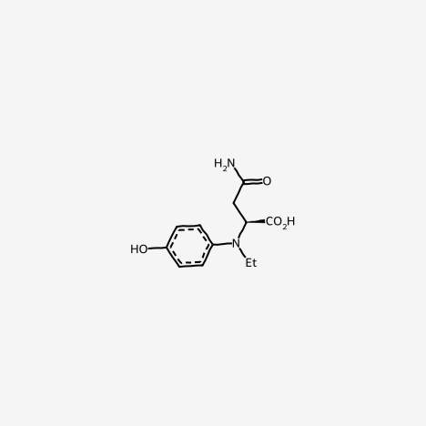 CCN(c1ccc(O)cc1)[C@@H](CC(N)=O)C(=O)O